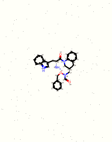 N[C@H](Cc1c[nH]c2ccccc12)C(=O)N1C[C@@H](CN(C=O)OCc2ccccc2)Cc2ccccc21